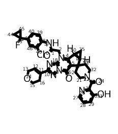 O=C(Cn1c2c(c(=O)n3nc(C4=CCOCC4)nc13)C1(CCN(C(=O)c3ncccc3O)CC1)[C@@H]1C[C@H]21)Nc1ccc(C2(F)CC2)cc1Cl